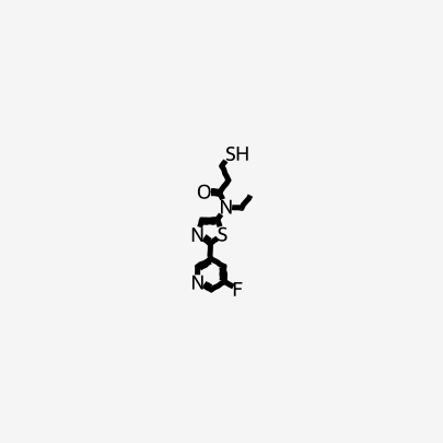 CCN(C(=O)CCS)c1cnc(-c2cncc(F)c2)s1